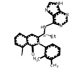 CC[C@@H](Nc1ncnc2[nH]cnc12)c1cc2cccc(F)c2c(=O)n1-c1cccc(C)c1C